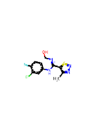 Cc1nnsc1/C(=N/CO)Nc1ccc(F)c(Cl)c1